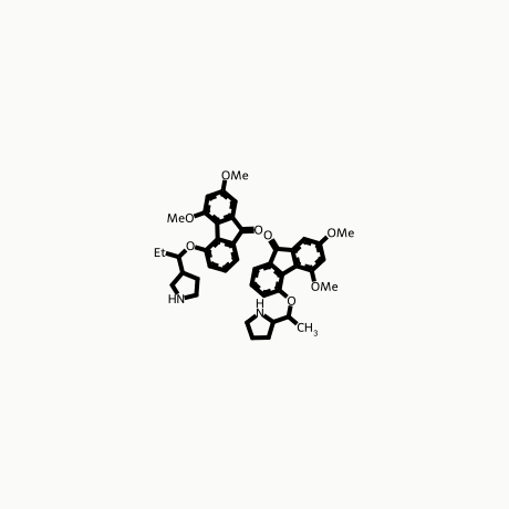 CCC(Oc1cccc2c1-c1c(OC)cc(OC)cc1C2=O)C1CCNC1.COc1cc(OC)c2c(c1)C(=O)c1cccc(OC(C)C3CCCN3)c1-2